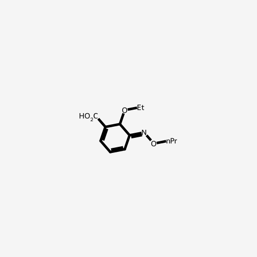 CCCON=C1C=CC=C(C(=O)O)C1OCC